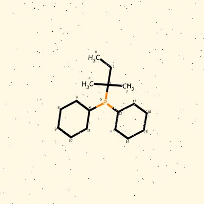 C[CH]C(C)(C)P(C1CCCCC1)C1CCCCC1